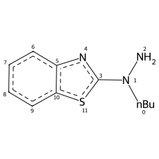 CCCCN(N)c1nc2ccccc2s1